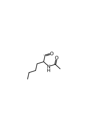 CCCCC([C]=O)NC(C)=O